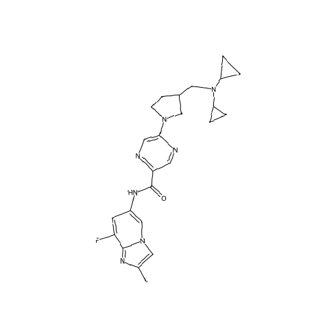 Cc1cn2cc(NC(=O)c3cnc(N4CCC(CN(C5CC5)C5CC5)C4)cn3)cc(F)c2n1